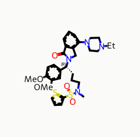 CCN1CCN(c2cccc3c2CN([C@H](CCCN(C)S(=O)(=O)c2cccs2)c2ccc(OC)c(OC)c2)C3=O)CC1